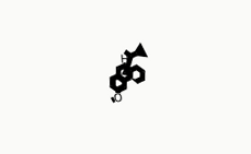 COc1ccc2c(c1)[C@@]13CCCCC1[C@@H](C2)C(C(C)C1CC1)CC3